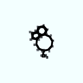 CN1CCCCc2cccc3scc(c23)CC1